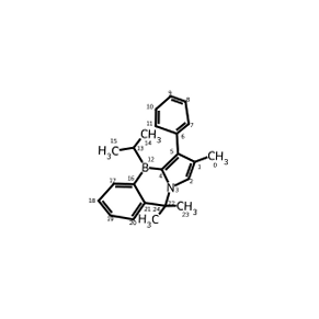 Cc1cn2c(c1-c1ccccc1)B(C(C)C)c1ccccc1C2(C)C